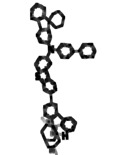 C[C@@H]1CC2C[C@H](C1)[C@@]1(c3ccccc3-c3cc(-c4ccc5c(c4)sc4ccc(N(c6ccc(-c7ccccc7)cc6)c6ccc7c(c6)C6(CCCCC6)c6ccccc6-7)cc45)ccc31)[C@@H](C)C2